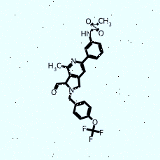 Cc1nc(-c2cccc(NS(C)(=O)=O)c2)cc2c1C(C=O)N(Cc1ccc(OC(F)(F)F)cc1)C2